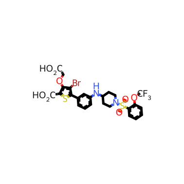 O=C(O)COc1c(C(=O)O)sc(-c2cccc(NC3CCN(S(=O)(=O)c4ccccc4OC(F)(F)F)CC3)c2)c1Br